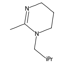 CC1=NCCCN1CC(C)C